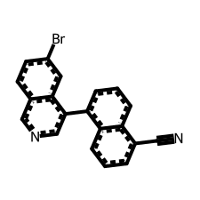 N#Cc1cccc2c(-c3cncc4ccc(Br)cc34)cccc12